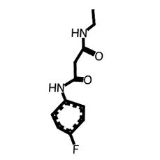 CCNC(=O)CC(=O)Nc1ccc(F)cc1